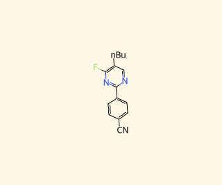 CCCCc1cnc(-c2ccc(C#N)cc2)nc1F